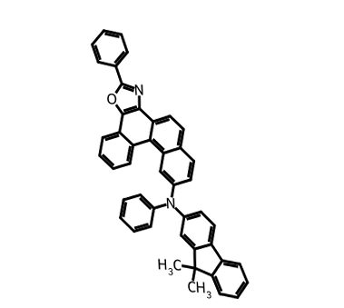 CC1(C)c2ccccc2-c2ccc(N(c3ccccc3)c3ccc4ccc5c6nc(-c7ccccc7)oc6c6ccccc6c5c4c3)cc21